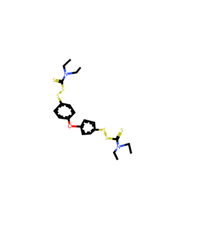 CCN(CC)C(=S)SSc1ccc(Oc2ccc(SSC(=S)N(CC)CC)cc2)cc1